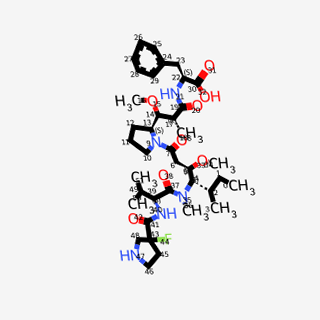 CCC(C)[C@@H]([C@@H](CC(=O)N1CCC[C@H]1C(OC)[C@@H](C)C(=O)N[C@@H](Cc1ccccc1)C(=O)O)OC)N(C)C(=O)[C@@H](NC(=O)C1(F)CCNC1)C(C)C